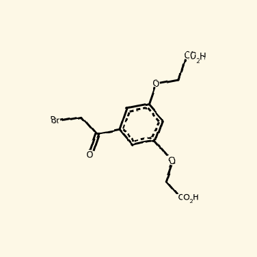 O=C(O)COc1cc(OCC(=O)O)cc(C(=O)CBr)c1